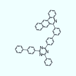 c1ccc(-c2ccc(-c3nc(-c4ccccc4)nc(-c4ccc(-c5cccc(-c6nc7ccccc7c7cc8ccccc8cc67)c5)cc4)n3)cc2)cc1